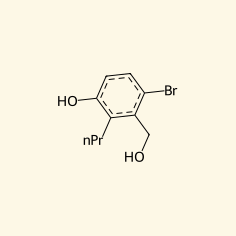 CCCc1c(O)ccc(Br)c1CO